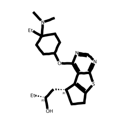 CC[C@@H](O)C[C@H]1CCc2sc3ncnc(OC4CCC(CC)(N(C)C)CC4)c3c21